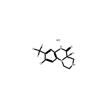 Cl.O=C1Nc2cc(C(F)(F)F)c(Cl)cc2N2CCNC[C@@H]12